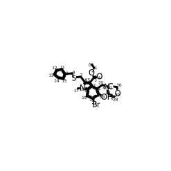 CCOC(=O)c1c(CSCc2ccccc2)n(C)c2cc(Br)c(O)c(CN3CCOCC3)c12